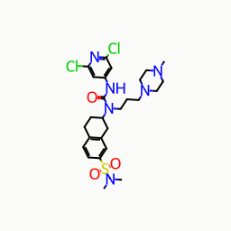 CN1CCN(CCCN(C(=O)Nc2cc(Cl)nc(Cl)c2)C2CCc3ccc(S(=O)(=O)N(C)C)cc3C2)CC1